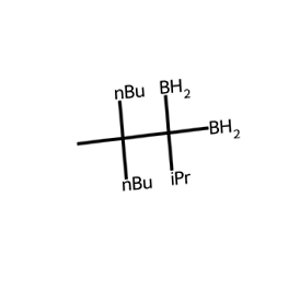 BC(B)(C(C)C)C(C)(CCCC)CCCC